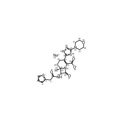 O=C(Cc1cccs1)NC1C(=O)N2C(C(=O)[O-])=C(c3nnc(N4CCOCC4)s3)CS[C@@H]12.[Na+]